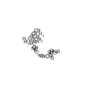 Cc1cc(OC2C(C)(C)C(NC(=O)c3cnc(N4CCC(CN5CCN(c6ccc7c(c6)C(=O)N(C6CCC(=O)NC6=O)C7=O)CC5)CC4)nc3)C2(C)C)ccc1C#N